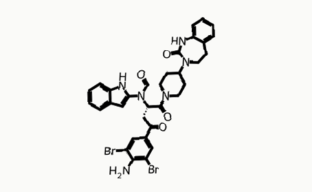 Nc1c(Br)cc(C(=O)C[C@@H](C(=O)N2CCC(N3CCc4ccccc4NC3=O)CC2)N(C=O)c2cc3ccccc3[nH]2)cc1Br